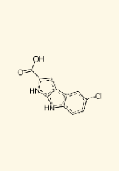 O=C(O)c1cc2c([nH]1)[nH]c1ccc(Cl)cc12